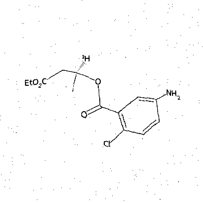 [2H][C@](C)(CC(=O)OCC)OC(=O)c1cc(N)ccc1Cl